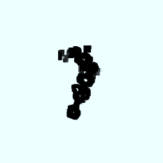 Fc1cc(OC(F)(F)C2CCC(C3OCC(C4CCCC4)CO3)CC2)ccc1OC(F)(F)F